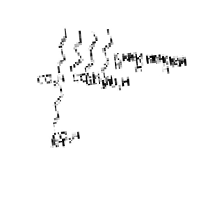 CC=CC=CC(=O)O.CC=CC=CC(=O)O.CC=CC=CC(=O)O.CC=CC=CC(=O)O.CC=CC=CC(=O)O.[KH].[KH].[KH].[KH].[KH].[KH].[KH].[KH].[KH].[KH]